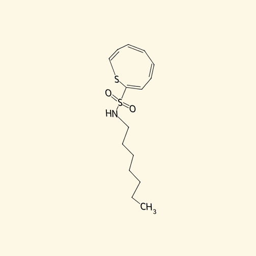 CCCCCCCNS(=O)(=O)c1cccccccs1